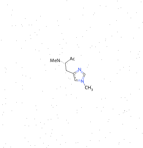 CN[C@@H](Cc1cn(C)cn1)C(C)=O